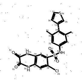 Cc1cc(NS(=O)(=O)c2cc3[nH]c(=O)c(=O)[nH]c3cc2Cl)cc(C)c1-c1ccsc1